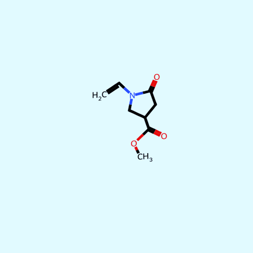 C=CN1CC(C(=O)OC)CC1=O